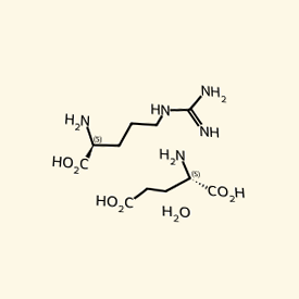 N=C(N)NCCC[C@H](N)C(=O)O.N[C@@H](CCC(=O)O)C(=O)O.O